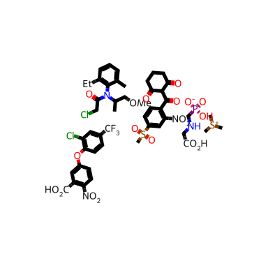 CCc1cccc(C)c1N(C(=O)CCl)C(C)COC.CS(=O)(=O)c1ccc(C(=O)C2C(=O)CCCC2=O)c([N+](=O)[O-])c1.C[S+](C)C.O=C(O)CNCP(=O)([O-])O.O=C(O)c1cc(Oc2ccc(C(F)(F)F)cc2Cl)ccc1[N+](=O)[O-]